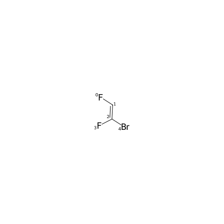 F/C=C(\F)Br